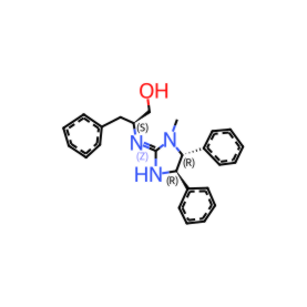 CN1/C(=N\[C@H](CO)Cc2ccccc2)N[C@H](c2ccccc2)[C@H]1c1ccccc1